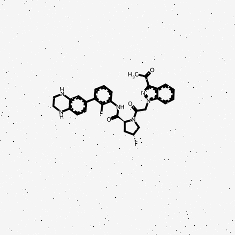 CC(=O)c1nn(CC(=O)N2C[C@H](F)C[C@H]2C(=O)Nc2cccc(-c3ccc4c(c3)NCCN4)c2F)c2ccccc12